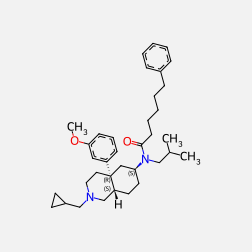 COc1cccc([C@@]23CCN(CC4CC4)C[C@H]2CC[C@H](N(CC(C)C)C(=O)CCCCCc2ccccc2)C3)c1